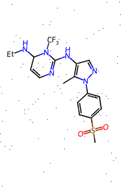 CCNC1C=CN=C(Nc2cnn(-c3ccc(S(C)(=O)=O)cc3)c2C)N1C(F)(F)F